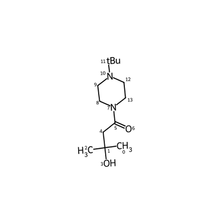 CC(C)(O)CC(=O)N1CCN(C(C)(C)C)CC1